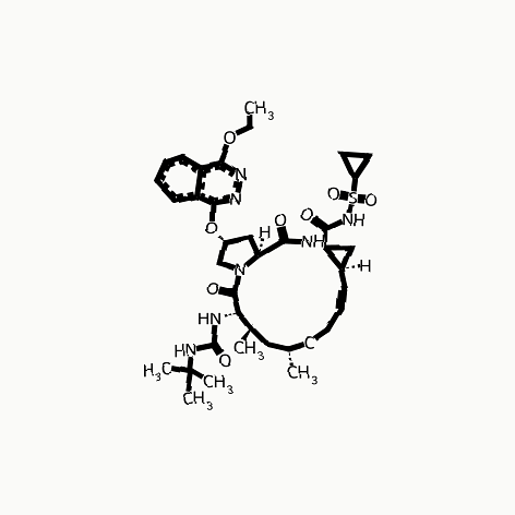 CCOc1nnc(O[C@@H]2C[C@H]3C(=O)N[C@]4(C(=O)NS(=O)(=O)C5CC5)C[C@H]4C=CCC[C@H](C)C[C@@H](C)[C@H](NC(=O)NC(C)(C)C)C(=O)N3C2)c2ccccc12